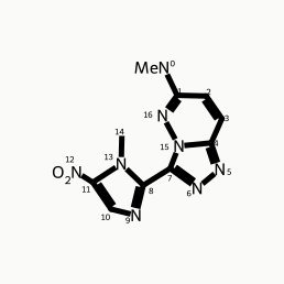 CNc1ccc2nnc(-c3ncc([N+](=O)[O-])n3C)n2n1